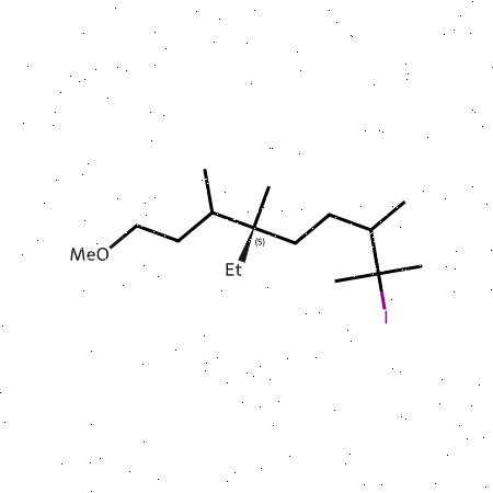 CC[C@@](C)(CCC(C)C(C)(C)I)C(C)CCOC